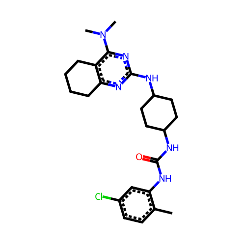 Cc1ccc(Cl)cc1NC(=O)NC1CCC(Nc2nc3c(c(N(C)C)n2)CCCC3)CC1